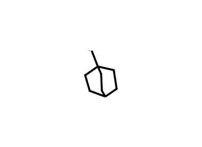 [CH2]C12CCC(CC1)CC2